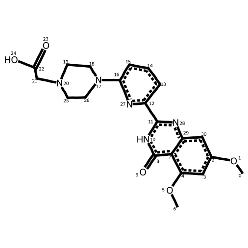 COc1cc(OC)c2c(=O)[nH]c(-c3cccc(N4CCN(CC(=O)O)CC4)n3)nc2c1